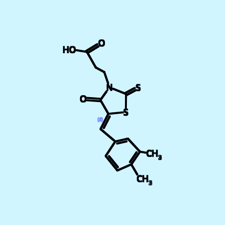 Cc1ccc(/C=C2\SC(=S)N(CCC(=O)O)C2=O)cc1C